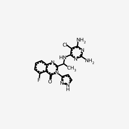 CC(Nc1nc(N)nc(N)c1Cl)c1nc2cccc(F)c2c(=O)n1-c1cc[nH]n1